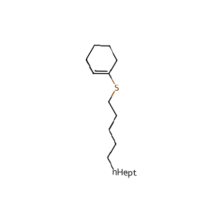 CCCCCCCCCCCCSC1=CCCCC1